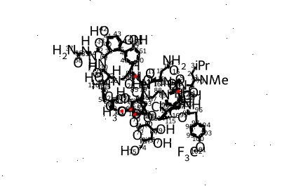 CN[C@H](CC(C)C)C(=O)N[C@H]1C(=O)NC(CC(N)=O)C(=O)NC2C(=O)N[C@H]3C(=O)N[C@H](C(=O)N[C@@H](C(=O)NNC(N)=O)c4cc(O)cc(O)c4-c4cc3ccc4O)[C@H](O)c3ccc(c(Cl)c3)Oc3cc2cc(c3O[C@@H]2O[C@H](CO)[C@@H](O)[C@H](O)[C@H]2O[C@H]2C[C@](C)(NCCn3ccc(NC(=O)Cc4ccc(OC(F)(F)F)cc4)nc3=O)[C@H](O)C(C)O2)Oc2ccc(cc2Cl)[C@H]1O